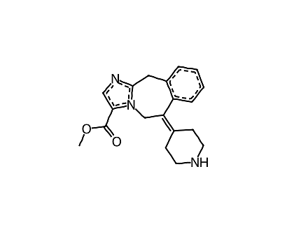 COC(=O)c1cnc2n1CC(=C1CCNCC1)c1ccccc1C2